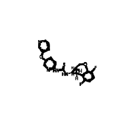 Fc1ccc(F)c2c1OC[C@H]1[C@@H](NC(=S)Nc3ccc(Oc4cccnc4)cn3)[C@@H]21